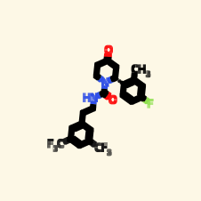 Cc1cc(F)ccc1[C@H]1CC(=O)CCN1C(=O)NCCc1cc(C(F)(F)F)cc(C(F)(F)F)c1